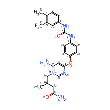 Cc1ccc(NC(=O)Nc2ccc(Oc3cc(N)[n+](CC(C)CC(N)=O)cn3)cc2)cc1C(F)(F)F